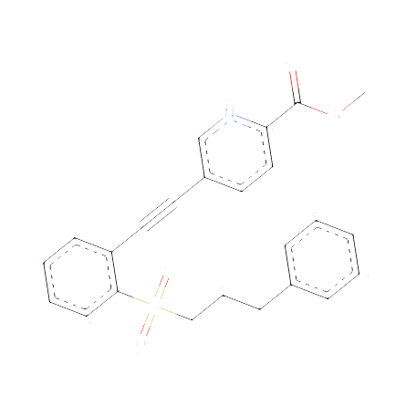 COC(=O)c1ccc(C#Cc2ccccc2S(=O)(=O)CCCc2ccccc2)cn1